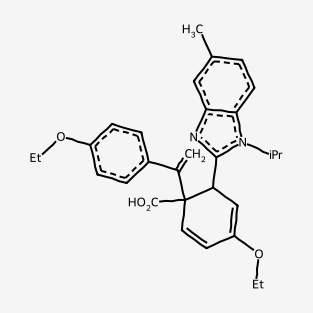 C=C(c1ccc(OCC)cc1)C1(C(=O)O)C=CC(OCC)=CC1c1nc2cc(C)ccc2n1C(C)C